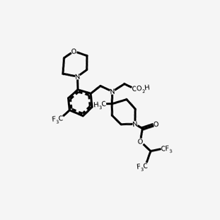 CC1(N(CC(=O)O)Cc2ccc(C(F)(F)F)cc2N2CCOCC2)CCN(C(=O)OC(C(F)(F)F)C(F)(F)F)CC1